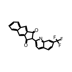 O=C1c2cc3ccccc3cc2C(=O)C1c1ccc2ccc(C(F)(F)F)cc2n1